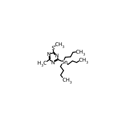 CCC[CH2][Sn]([CH2]CCC)([CH2]CCC)[c]1nc(C)nc(SC)n1